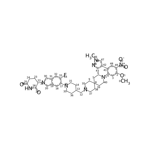 COc1cc(N2CCC3(CCN(CC4CCN(c5cc6cn(C7CCC(=O)NC7=O)cc6cc5F)CC4)CC3)CC2)c(-c2cnn(C)c2)cc1[N+](=O)[O-]